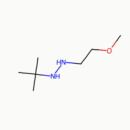 COCCNNC(C)(C)C